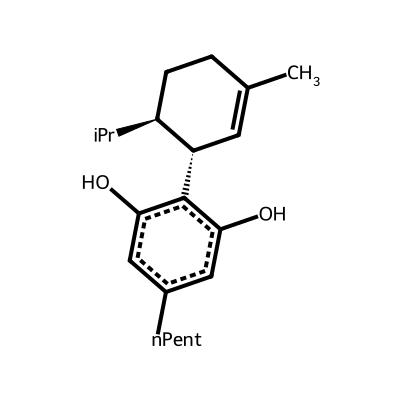 CCCCCc1cc(O)c([C@H]2C=C(C)CC[C@@H]2C(C)C)c(O)c1